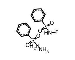 N.NS(=O)(=O)c1ccccc1.O=S(=O)(NF)c1ccccc1